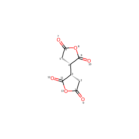 O=C1C[C@@H]([C@@H]2CC(=O)OC2=O)C(=O)O1